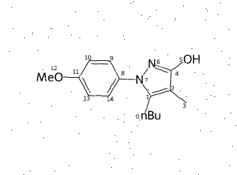 CCCCc1c(C)c(O)nn1-c1ccc(OC)cc1